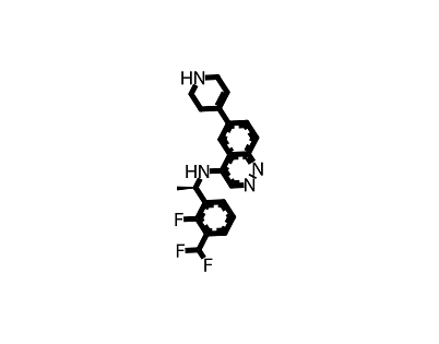 C[C@@H](Nc1cnnc2ccc(C3=CCNCC3)cc12)c1cccc(C(F)F)c1F